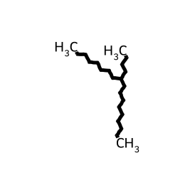 CCCCCCCCCC(CCCC)CCCCCCCC